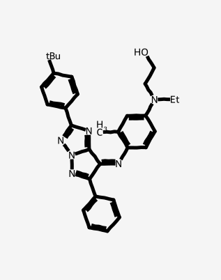 CCN(CCO)c1ccc(/N=C2/C(c3ccccc3)=Nn3nc(-c4ccc(C(C)(C)C)cc4)nc32)c(C)c1